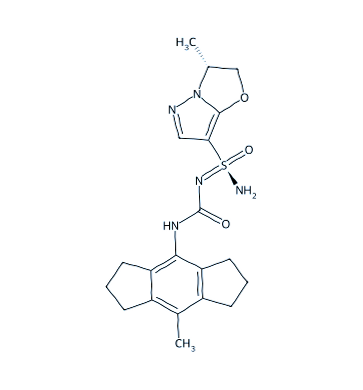 Cc1c2c(c(NC(=O)N=[S@@](N)(=O)c3cnn4c3OC[C@H]4C)c3c1CCC3)CCC2